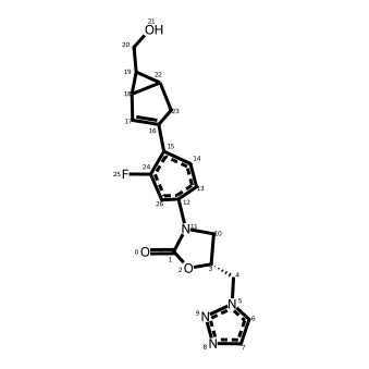 O=C1O[C@@H](Cn2ccnn2)CN1c1ccc(C2=CC3C(CO)C3C2)c(F)c1